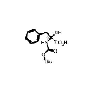 CC(C)(C)OC(=O)N[C@](O)(Cc1ccccc1)C(=O)O